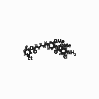 CCN1CCC(C)[C@@H](OC(=O)CCCCCN2CC[C@@H](NC(=O)c3cc(Cl)c(N)cc3OC)[C@@H](OC)C2)C1